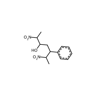 CC(C(O)CC(c1ccccc1)C(C)[N+](=O)[O-])[N+](=O)[O-]